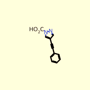 O=C(O)n1cc(C#Cc2ccccc2)cn1